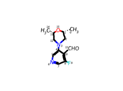 C[C@@H]1CN(c2cncc(F)c2C=O)C[C@H](C)O1